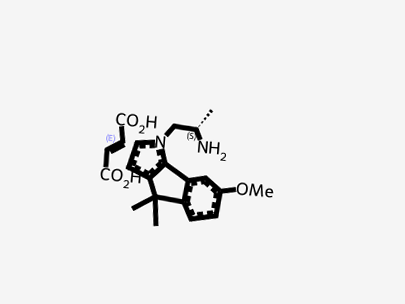 COc1ccc2c(c1)-c1c(ccn1C[C@H](C)N)C2(C)C.O=C(O)/C=C/C(=O)O